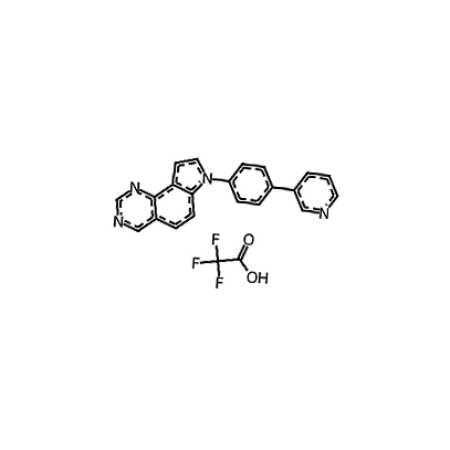 O=C(O)C(F)(F)F.c1cncc(-c2ccc(-n3ccc4c5ncncc5ccc43)cc2)c1